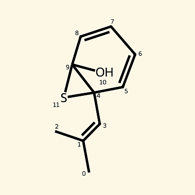 CC(C)=CC12C=CC=CC1(O)S2